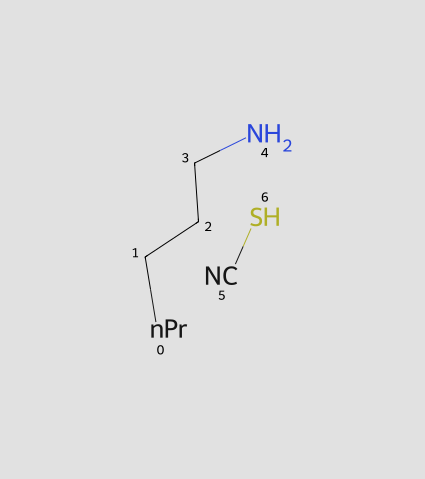 CCCCCCN.N#CS